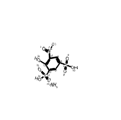 N.O=[N+]([O-])c1cc(S(=O)(=O)O)cc(S(=O)(=O)O)c1O